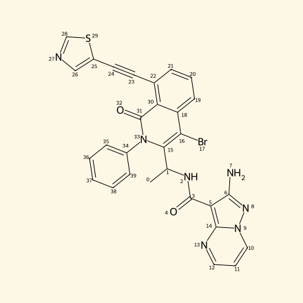 CC(NC(=O)c1c(N)nn2cccnc12)c1c(Br)c2cccc(C#Cc3cncs3)c2c(=O)n1-c1ccccc1